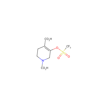 O=C(O)C1=C(OS(=O)(=O)C(F)(F)F)CN(C(=O)O)CC1